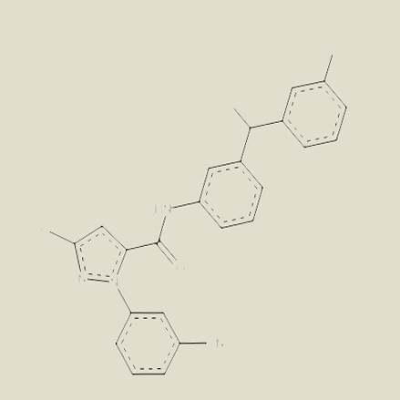 N#Cc1cccc(-n2nc(C(F)(F)F)cc2C(=O)Nc2cccc(C(O)c3cccc(F)c3)c2)c1